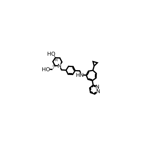 OC[C@@H]1C[C@H](O)CCN1CC1C=CC(CNC2=CC(C3CC3)C=CC(c3cccnn3)=C2)=CC1